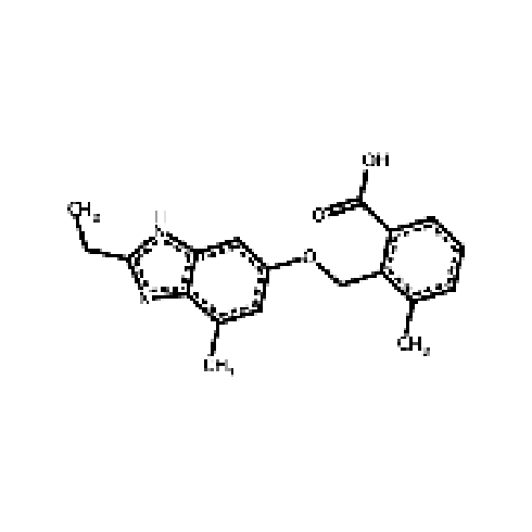 CCc1nc2c(C)cc(OCc3c(C)cccc3C(=O)O)cc2[nH]1